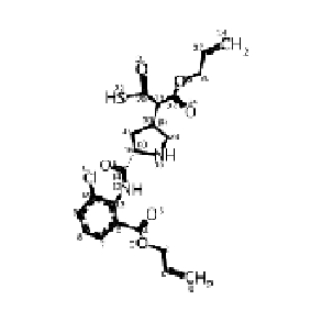 C=CCOC(=O)c1cccc(Cl)c1NC(=O)[C@@H]1C[C@@H](C(C(=O)S)C(=O)OCC=C)CN1